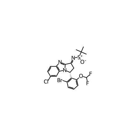 CC(C)(C)[S+]([O-])/N=C1\C[C@H](c2c(Br)cccc2OC(F)F)n2c1nc1ccc(Cl)cc12